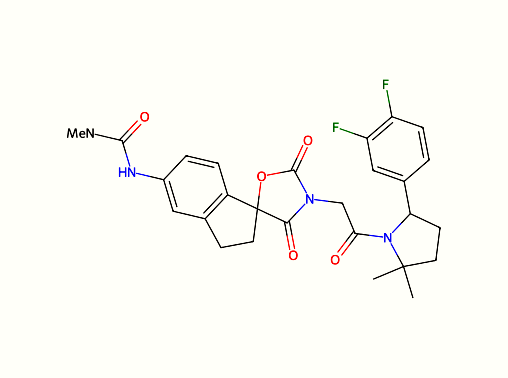 CNC(=O)Nc1ccc2c(c1)CCC21OC(=O)N(CC(=O)N2C(c3ccc(F)c(F)c3)CCC2(C)C)C1=O